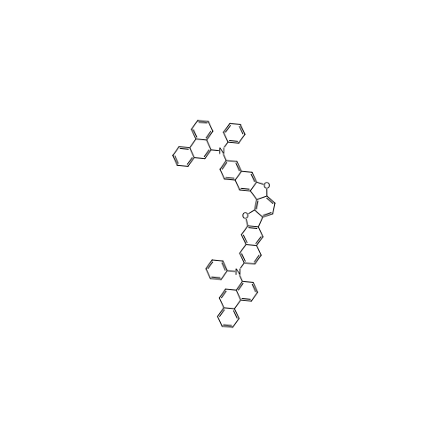 c1ccc(N(c2ccc3cc4c(cc3c2)oc2c4ccc3oc4cc5cc(N(c6ccccc6)c6cc7ccccc7c7ccccc67)ccc5cc4c32)c2cccc3c2ccc2ccccc23)cc1